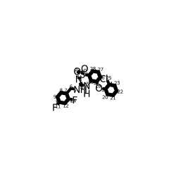 O=S1(=O)N=C(NCc2ccc(F)cc2F)Nc2c(Oc3ccccc3Cl)cccc21